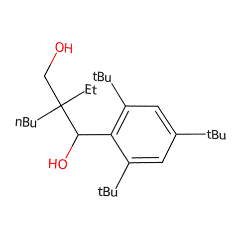 CCCCC(CC)(CO)C(O)c1c(C(C)(C)C)cc(C(C)(C)C)cc1C(C)(C)C